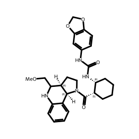 COCC1Nc2ccccc2[C@H]2[C@@H]1CCN2C(=O)[C@H]1CCCC[C@H]1NC(=O)Nc1ccc2c(c1)OCO2